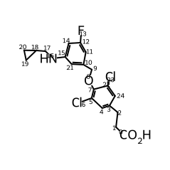 O=C(O)CCc1cc(Cl)c(OCc2cc(F)cc(NCC3CC3)c2)c(Cl)c1